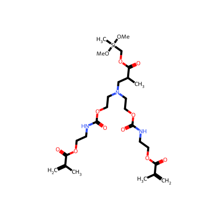 C=C(C)C(=O)OCCNC(=O)OCCN(CCOC(=O)NCCOC(=O)C(=C)C)CC(C)C(=O)OC[Si](C)(OC)OC